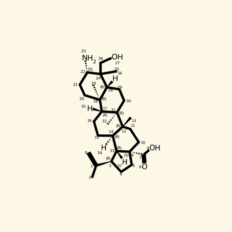 C=C(C)[C@@H]1CC[C@]2(C(=O)O)CC[C@]3(C)[C@H](CC[C@@H]4[C@@]5(C)CC[C@H](N)C(C)(CO)[C@@H]5CC[C@]43C)[C@@H]12